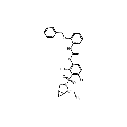 NC[C@@H]1C2CC2CN1S(=O)(=O)c1c(Cl)ccc(NC(=O)Nc2ccccc2OCc2ccccc2)c1O